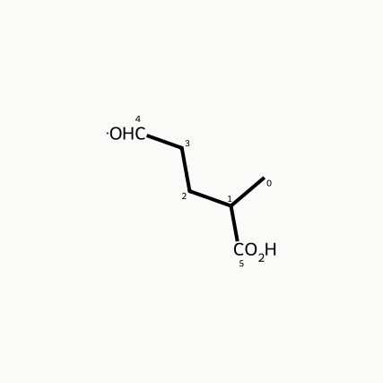 CC(CC[C]=O)C(=O)O